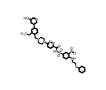 CCc1cc(-c2cncc(O)c2)ccc1CN1CCN(c2ccc(C(=O)NS(=O)(=O)c3ccc(NCCSc4ccccc4)c([N+](=O)[O-])c3)nn2)CC1